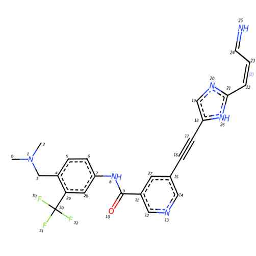 CN(C)Cc1ccc(NC(=O)c2cncc(C#Cc3cnc(/C=C\C=N)[nH]3)c2)cc1C(F)(F)F